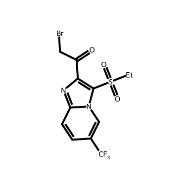 CCS(=O)(=O)c1c(C(=O)CBr)nc2ccc(C(F)(F)F)cn12